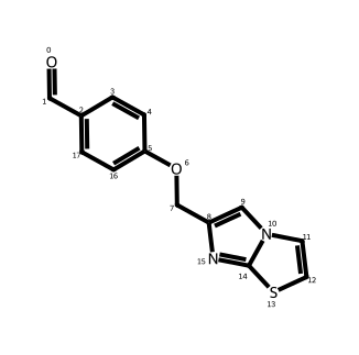 O=Cc1ccc(OCc2cn3ccsc3n2)cc1